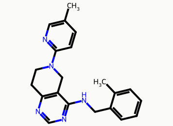 Cc1ccc(N2CCc3ncnc(NCc4ccccc4C)c3C2)nc1